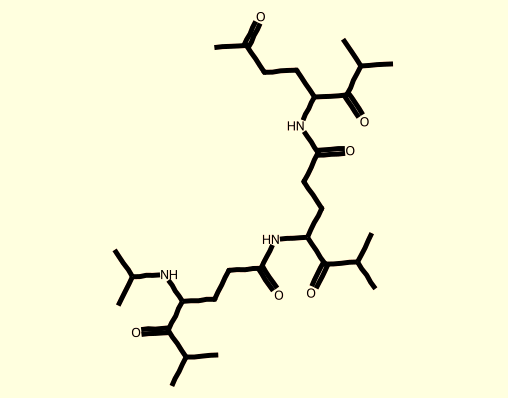 CC(=O)CCC(NC(=O)CCC(NC(=O)CCC(NC(C)C)C(=O)C(C)C)C(=O)C(C)C)C(=O)C(C)C